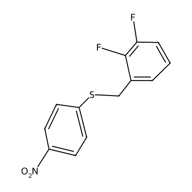 O=[N+]([O-])c1ccc(SCc2cccc(F)c2F)cc1